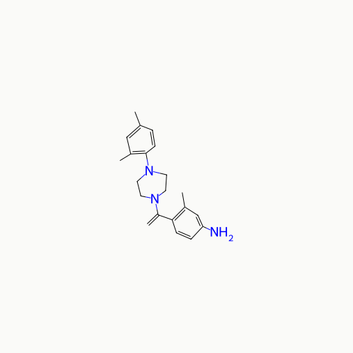 C=C(c1ccc(N)cc1C)N1CCN(c2ccc(C)cc2C)CC1